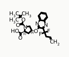 C=CCC(F)(F)c1nc2ccccc2nc1O[C@@H]1C[C@@H](C(=O)O)N(C(=O)OC(C)(C)C)C1